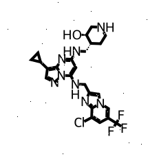 O[C@H]1CNCC[C@@H]1CNc1cc(NCc2cn3cc(C(F)(F)F)cc(Cl)c3n2)n2ncc(C3CC3)c2n1